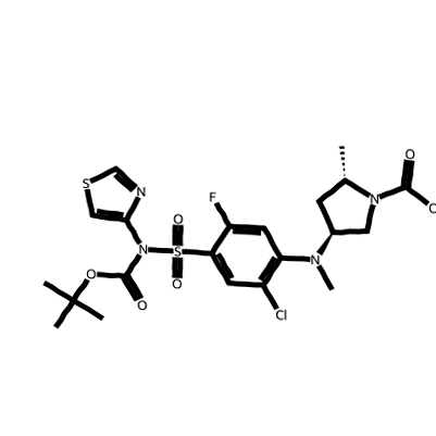 C[C@H]1C[C@H](N(C)c2cc(F)c(S(=O)(=O)N(C(=O)OC(C)(C)C)c3cscn3)cc2Cl)CN1C(=O)O